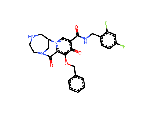 O=C(NCc1ccc(F)cc1F)c1cn2c(c(OCc3ccccc3)c1=O)C(=O)N1CCNCC2C1